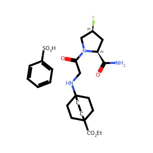 CCOC(=O)C12CCC(NCC(=O)N3C[C@@H](F)C[C@H]3C(N)=O)(CC1)CC2.O=S(=O)(O)c1ccccc1